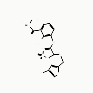 CC(C)c1coc([C@H](NC2NS(=O)(=O)N=C2Nc2cccc(C(=O)N(C)C)c2O)C(C)(C)C)c1